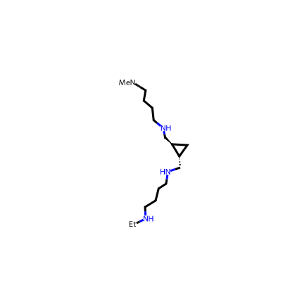 CCNCCCCNC[C@H]1C[C@@H]1CNCCCCNC